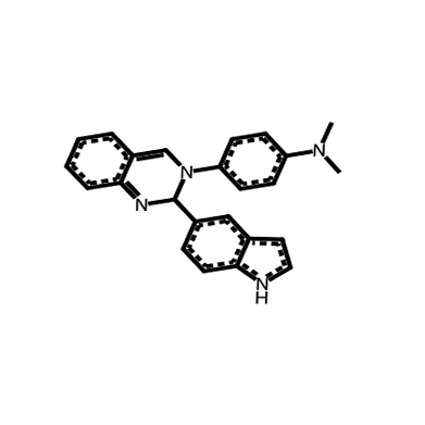 CN(C)c1ccc(N2C=c3ccccc3=NC2c2ccc3[nH]ccc3c2)cc1